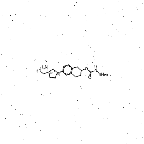 CCCCCCNC(=O)OC1CCc2cc([C@H]3CC[C@@](N)(CO)C3)ccc2C1